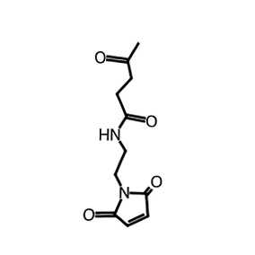 CC(=O)CCC(=O)NCCN1C(=O)C=CC1=O